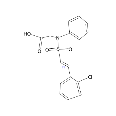 O=C(O)CN(c1ccccc1)S(=O)(=O)/C=C/c1ccccc1Cl